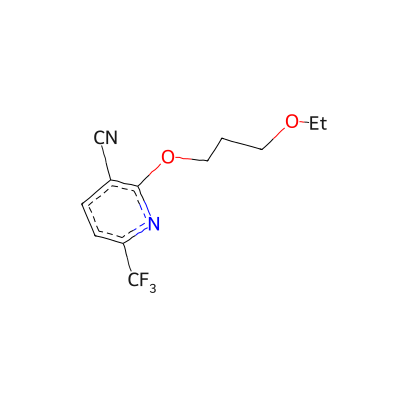 CCOCCCOc1nc(C(F)(F)F)ccc1C#N